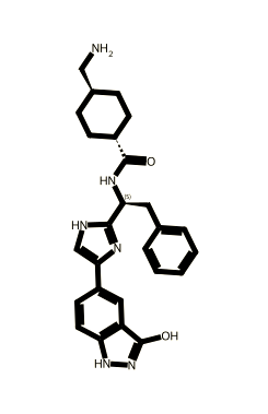 NC[C@H]1CC[C@H](C(=O)N[C@@H](Cc2ccccc2)c2nc(-c3ccc4[nH]nc(O)c4c3)c[nH]2)CC1